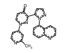 Cc1cc(-n2ccc(=O)c(-c3ccnn3-c3cccc4ncccc34)n2)ccn1